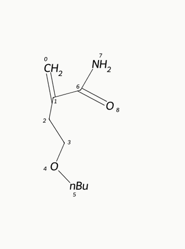 C=C(CCOCCCC)C(N)=O